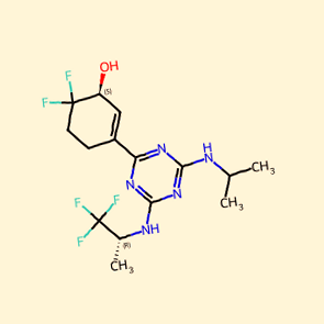 CC(C)Nc1nc(N[C@H](C)C(F)(F)F)nc(C2=C[C@H](O)C(F)(F)CC2)n1